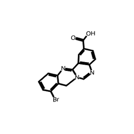 O=C(O)c1ccc2c(c1)C1=Nc3cccc(Br)c3CN1C=N2